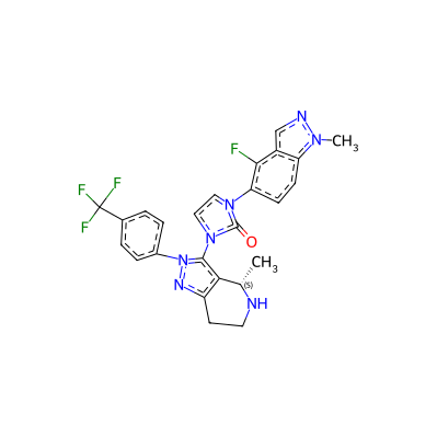 C[C@@H]1NCCc2nn(-c3ccc(C(F)(F)F)cc3)c(-n3ccn(-c4ccc5c(cnn5C)c4F)c3=O)c21